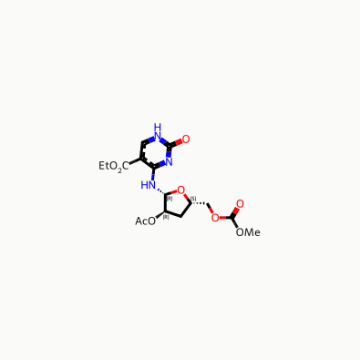 CCOC(=O)c1c[nH]c(=O)nc1N[C@@H]1O[C@H](COC(=O)OC)C[C@H]1OC(C)=O